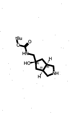 CC(C)(C)OC(=O)NC[C@]1(O)C[C@H]2CNC[C@H]2C1